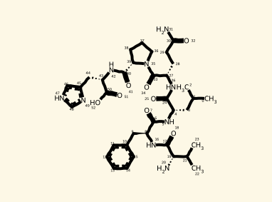 CC(C)C[C@H](NC(=O)[C@H](Cc1ccccc1)NC(=O)[C@@H](N)C(C)C)C(=O)N[C@@H](CCC(N)=O)C(=O)N1CCC[C@H]1C(=O)N[C@@H](Cc1c[nH]cn1)C(=O)O